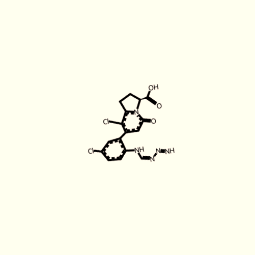 N=N/N=C\Nc1ccc(Cl)cc1-c1cc(=O)n2c(c1Cl)CC[C@H]2C(=O)O